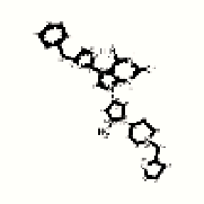 Nc1nc(Cl)nc2c1c(-c1nc(Cc3ccccc3)cs1)cn2[C@@H]1C[C@H](C2CCN(CC3CCCO3)CC2)[C@@H](O)C1